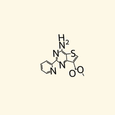 COC(=O)c1csc2c(N)nc(-c3ccccn3)nc12